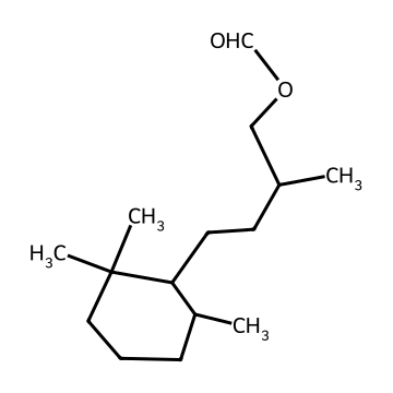 CC(CCC1C(C)CCCC1(C)C)COC=O